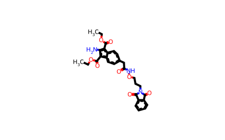 CCOC(=O)c1c2ccc(CC(=O)NOCCCN3C(=O)c4ccccc4C3=O)ccc-2c(C(=O)OCC)c1N